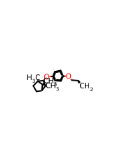 C=CCOc1ccc(OC2CC3CCC2(C)C3(C)C)cc1